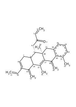 C=CC(=O)C[C@H]1C2CC=C(C=C)C(=C)C2C(C)=C2C(=C)c3c(C)cccc3C[C@@]21C